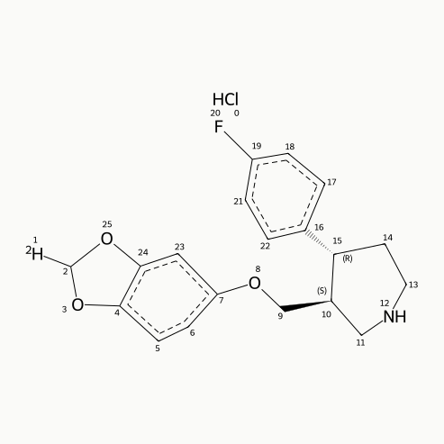 Cl.[2H]C1Oc2ccc(OC[C@@H]3CNCC[C@H]3c3ccc(F)cc3)cc2O1